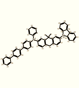 CC1(C)c2cc(N(c3ccccc3)c3ccc(-c4ccc(-c5ccccc5)cc4)cc3)ccc2Cc2ccc(-n3c4ccccc4c4ccccc43)cc21